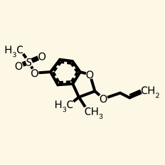 C=CCOC1Oc2ccc(OS(C)(=O)=O)cc2C1(C)C